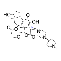 COCC1OC(=O)/C(=C\N2CCN(C3CCN(C)CC3)CC2)C2=C(O)C(=O)C3=C(C(OC(C)=O)CC4(C)C(O)CCC34)C21C